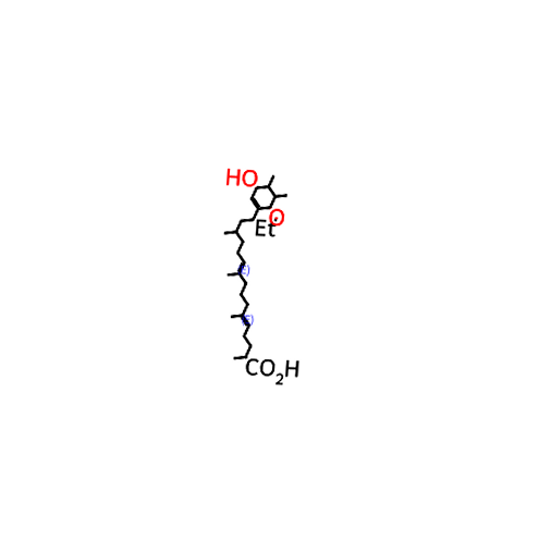 CCOC1C(CCC(C)CC/C=C(\C)CCC/C(C)=C/CCC(C)C(=O)O)=CC(O)C(C)C1C